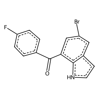 O=C(c1ccc(F)cc1)c1cc(Br)cc2cc[nH]c12